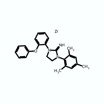 Cc1cc(C)c(N2CCN(c3ccccc3Oc3ccccc3)C2=N)c(C)c1.[Zr]